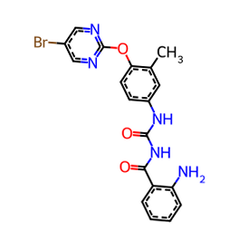 Cc1cc(NC(=O)NC(=O)c2ccccc2N)ccc1Oc1ncc(Br)cn1